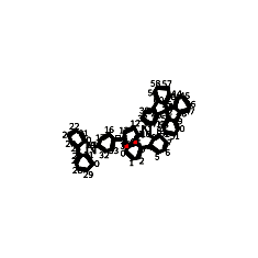 c1ccc(-c2ccccc2N(c2ccc(-c3ccc(-n4c5ccccc5c5ccccc54)cc3)cc2)c2ccc3c(c2)C2(c4ccccc4-c4ccccc42)c2ccccc2-3)cc1